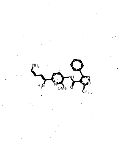 COc1nc(/C(N)=C/C=C\N)ccc1NC(=O)c1c(-c2ccccc2)noc1C